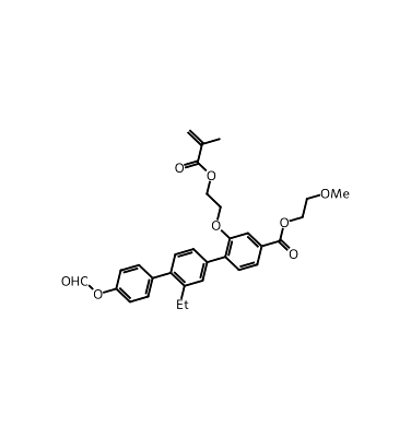 C=C(C)C(=O)OCCOc1cc(C(=O)OCCOC)ccc1-c1ccc(-c2ccc(OC=O)cc2)c(CC)c1